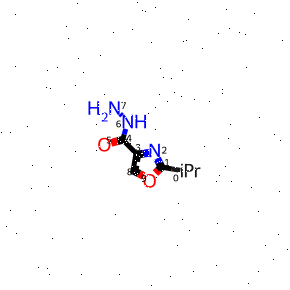 CC(C)c1nc(C(=O)NN)co1